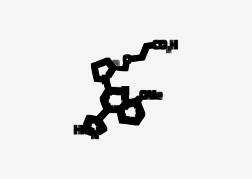 COc1cccc2c(-c3cn[nH]c3)cc(N3CCC[C@H]3COCCC(=O)O)nc12